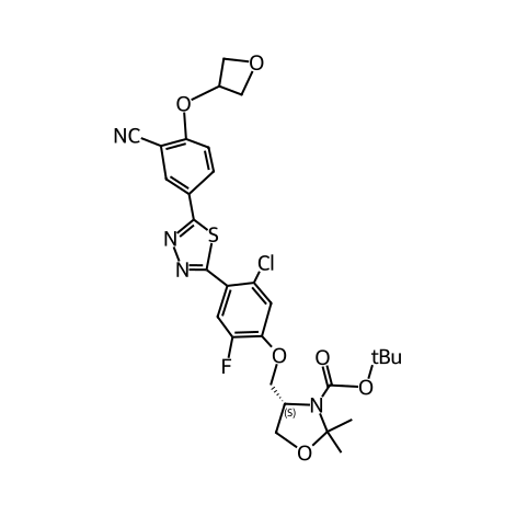 CC(C)(C)OC(=O)N1[C@@H](COc2cc(Cl)c(-c3nnc(-c4ccc(OC5COC5)c(C#N)c4)s3)cc2F)COC1(C)C